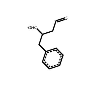 O=[C]C(C[C]=S)Cc1ccccc1